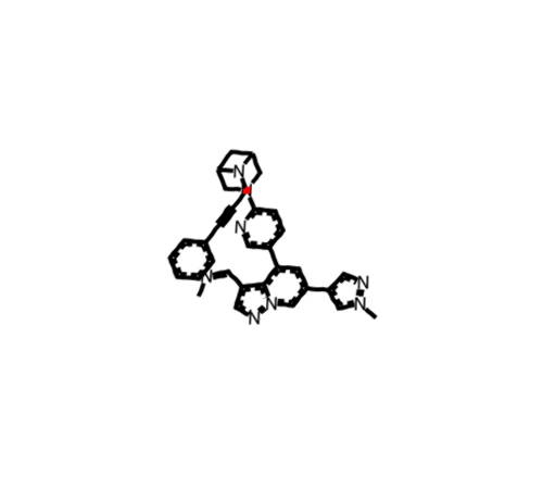 C/N=C\c1cnn2cc(-c3cnn(C)c3)cc(-c3ccc(N4CC5CC(C4)N5CC#Cc4ccccc4)nc3)c12